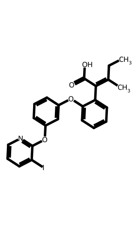 CC/C(C)=C(\C(=O)O)c1ccccc1Oc1cccc(Oc2ncccc2I)c1